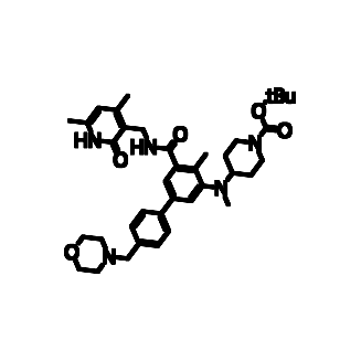 Cc1cc(C)c(CNC(=O)c2cc(-c3ccc(CN4CCOCC4)cc3)cc(N(C)C3CCN(C(=O)OC(C)(C)C)CC3)c2C)c(=O)[nH]1